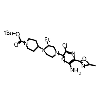 CC[C@H]1CN(c2nc(N)c(C3=NC(C)O3)nc2Cl)CCN1C1CCN(C(=O)OC(C)(C)C)CC1